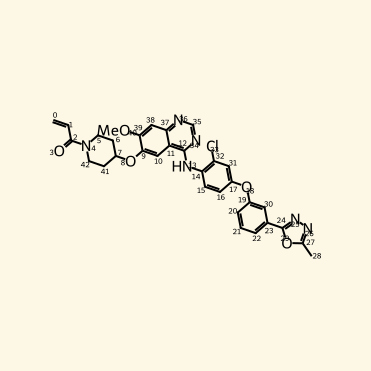 C=CC(=O)N1CCC(Oc2cc3c(Nc4ccc(Oc5cccc(-c6nnc(C)o6)c5)cc4Cl)ncnc3cc2OC)CC1